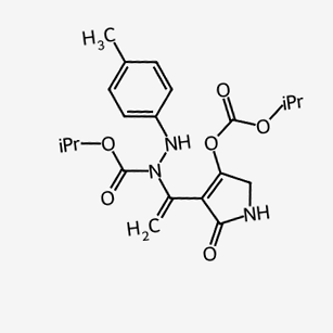 C=C(C1=C(OC(=O)OC(C)C)CNC1=O)N(Nc1ccc(C)cc1)C(=O)OC(C)C